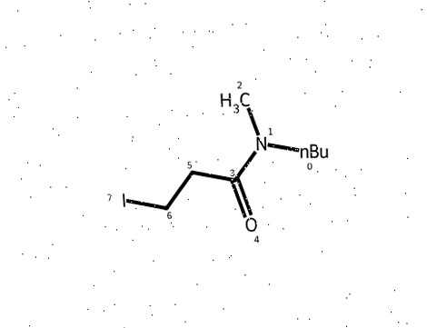 CCCCN(C)C(=O)CCI